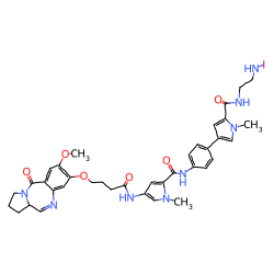 COc1cc2c(cc1OCCCC(=O)Nc1cc(C(=O)Nc3ccc(-c4cc(C(=O)NCCNI)n(C)c4)cc3)n(C)c1)N=CC1CCCN1C2=O